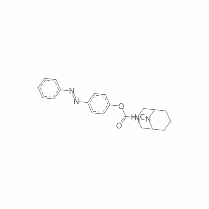 CN1C2CCCC1CN(C(=O)Oc1ccc(/N=N/c3ccccc3)cc1)C2